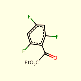 CCOC(=O)C(=O)c1c(F)cc(F)cc1F